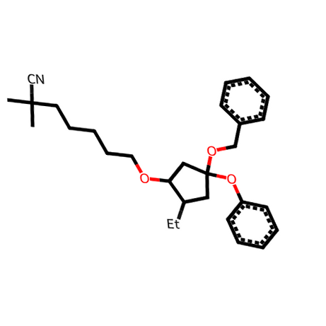 CCC1CC(OCc2ccccc2)(Oc2ccccc2)CC1OCCCCCC(C)(C)C#N